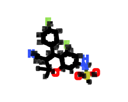 CC1(C)Oc2cc(NS(C)(=O)=O)cc(F)c2C(c2ccc(F)cc2)=C1C#N